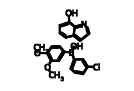 COc1ccc(B(O)c2cccc(Cl)c2)cc1OC.Oc1cccc2cccnc12